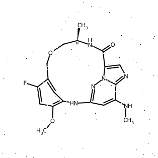 CNc1cc2nn3c(cnc13)C(=O)N[C@H](C)COCc1cc(c(OC)cc1F)N2